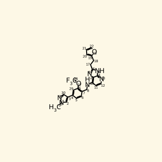 Cn1cc(-c2ccc(CNc3ccnc4[nH]c(CCc5ccco5)nc34)c(OC(F)(F)F)c2)cn1